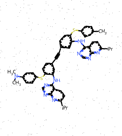 Cc1ccc(Sc2ccc(C#Cc3ccc(Sc4ccc(N(C)C)cc4)c(Nc4ncnc5nc(C(C)C)ccc45)c3)cc2Nc2ncnc3nc(C(C)C)ccc23)cc1